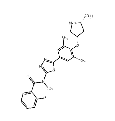 CCCCN(C(=O)c1ccccc1F)c1nnc(-c2cc(C)c(O[C@@H]3CN[C@H](C(=O)O)C3)c(C)c2)s1